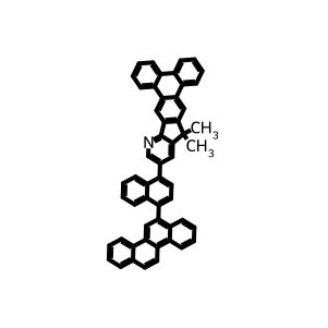 CC1(C)c2cc3c4ccccc4c4ccccc4c3cc2-c2ncc(-c3ccc(-c4cc5c6ccccc6ccc5c5ccccc45)c4ccccc34)cc21